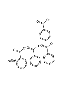 O=C([O-])c1ccccc1.O=C([O-])c1ccccc1.O=C([O-])c1ccccc1.O=C([O-])c1ccccc1.[Cu+2].[Zn+2]